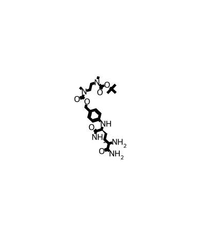 CN(CCN(C)C(=O)OC(C)(C)C)C(=O)OCc1ccc(N[C@@H](CCC(N)C(N)=O)C(N)=O)cc1